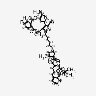 C[C@H]1Oc2cc(cnc2N)-c2c(C#N)nn(CCCCCCN3C[C@H](NC(=O)[C@H](CCCc4cccnc4N)NC(=O)OC(C)(C)C)C(C)(C)C3)c2CN(C)C(=O)c2ccc(F)cc21